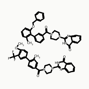 COc1ccc(-c2ccc(C(=O)N3CCN(c4nc5ccccc5c(=O)[nH]4)CC3)cc2C)cc1C(F)(F)F.Cc1cccc(OCc2ccccc2)c1-c1cccc(C(=O)N2CCN(c3nc4ccccc4c(=O)[nH]3)CC2)c1